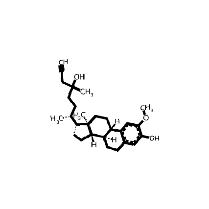 C#CCC(C)(O)CC[C@@H](C)[C@H]1CC[C@H]2[C@@H]3CCc4cc(O)c(OC)cc4[C@H]3CC[C@]12C